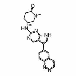 CN1C[C@H](Nc2ncc3c(-c4ccc5nnccc5c4)c[nH]c3n2)CCC1=O